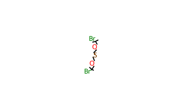 CC(C)(Br)COCCSCCOCC(C)(C)Br